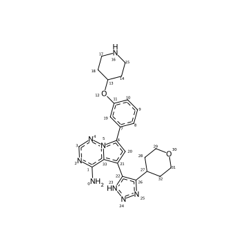 Nc1ncnn2c(-c3cccc(OC4CCNCC4)c3)cc(-c3[nH]nnc3C3CCOCC3)c12